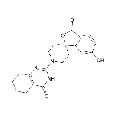 O=C1OC2(CCN(c3nc4c(c(=O)[nH]3)CCCC4)CC2)c2cc(O)ccc21